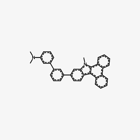 CN(C)c1cccc(-c2cccc(-c3ccc4c5c6ccccc6c6ccccc6c5n(C)c4c3)c2)c1